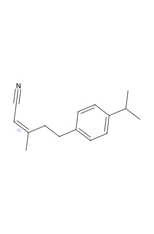 C/C(=C/C#N)CCc1ccc(C(C)C)cc1